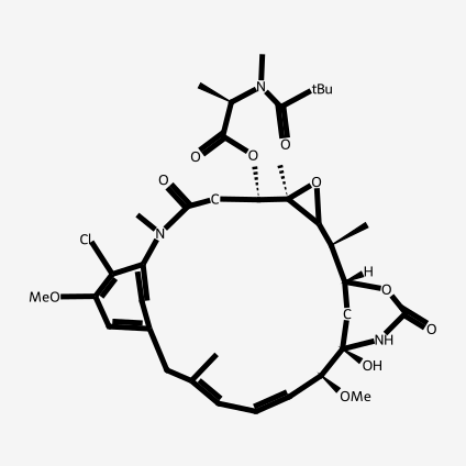 COc1cc2cc(c1Cl)N(C)C(=O)C[C@H](OC(=O)[C@@H](C)N(C)C(=O)C(C)(C)C)[C@@]1(C)OC1[C@@H](C)[C@H]1C[C@](O)(NC(=O)O1)[C@@H](OC)/C=C\C=C(/C)C2